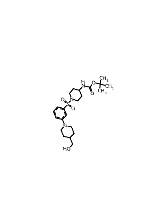 CC(C)(C)OC(=O)NC1CCN(S(=O)(=O)c2cccc(N3CCC(CO)CC3)c2)CC1